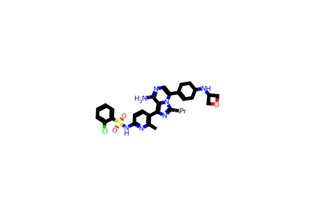 Cc1nc(NS(=O)(=O)c2ccccc2Cl)ccc1-c1nc(C(C)C)n2c(C3=CCC(NC4COC4)CC3)cnc(N)c12